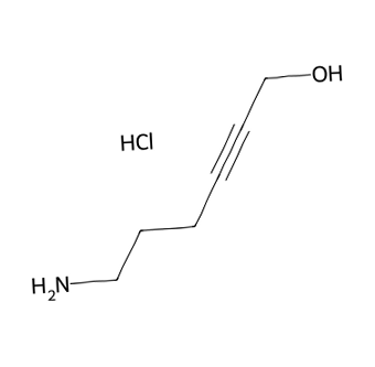 Cl.NCCCC#CCO